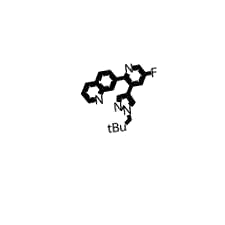 CC(C)(C)Cn1cc(-c2cc(F)cnc2-c2ccc3cccnc3c2)cn1